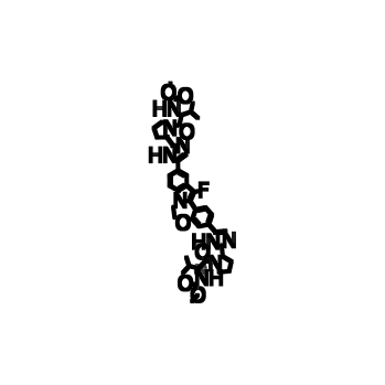 COC(=O)NC(C(=O)N1CCCC1c1ncc(-c2ccc3c(c2)c(F)c2n3CCOc3cc(-c4cnc(C5CCCN5C(=O)[C@@H](NC(=O)OC)C(C)C)[nH]4)ccc3-2)[nH]1)C(C)C